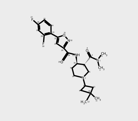 CN(C)C(=O)[C@@H]1CN(C2CC(C)(C)C2)CC[C@H]1NC(=O)c1cc(-c2ccc(F)cc2F)on1